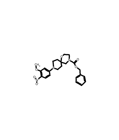 COc1cc(N2CCC3(CC2)CN(C(=O)OCc2ccccc2)CCO3)ccc1[N+](=O)[O-]